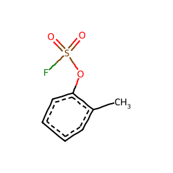 Cc1ccccc1OS(=O)(=O)F